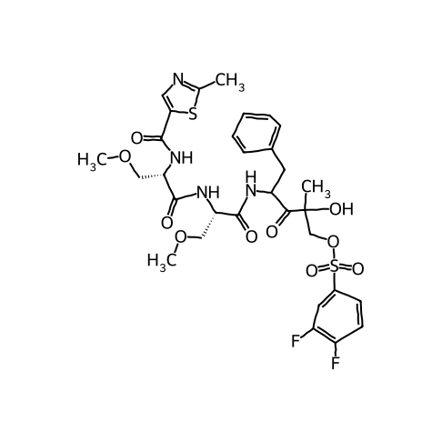 COC[C@H](NC(=O)c1cnc(C)s1)C(=O)N[C@@H](COC)C(=O)NC(Cc1ccccc1)C(=O)C(C)(O)COS(=O)(=O)c1ccc(F)c(F)c1